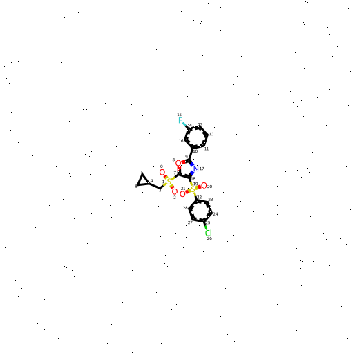 O=S(=O)(CC1CC1)c1oc(-c2cccc(F)c2)nc1S(=O)(=O)c1ccc(Cl)cc1